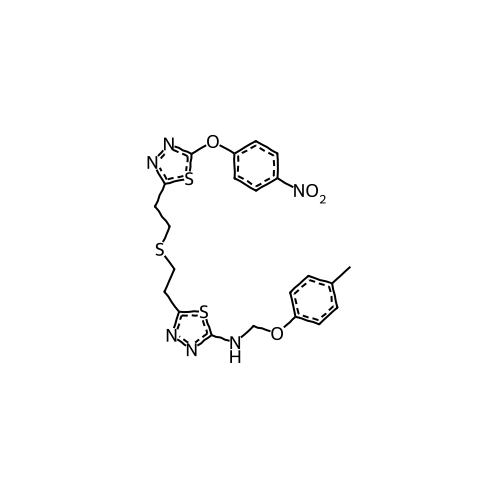 Cc1ccc(OCNc2nnc(CCSCCc3nnc(Oc4ccc([N+](=O)[O-])cc4)s3)s2)cc1